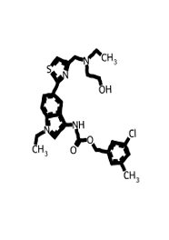 CCN(CCO)Cc1csc(-c2ccc3c(c2)c(NC(=O)OCc2cc(C)cc(Cl)c2)cn3CC)n1